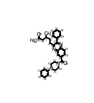 CC(CCc1nc2cc(C(=O)N3CCN(c4ccccc4)CC3)ccc2nc1-c1ccccc1)CC(=O)O